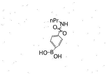 CCCNS(=O)(=O)c1ccc(B(O)O)cc1